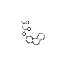 CC(=O)CC(=O)Oc1ccc2ccc3ccccc3c2c1